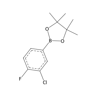 CC1(C)OB(c2ccc(F)c(Cl)c2)OC1(C)C